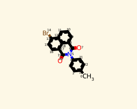 Cc1ccc(N2C(=O)c3cccc4c(Br)ccc(c34)C2=O)cc1